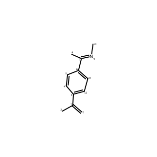 C=C(C)c1ccc(/C(C)=N/C)cc1